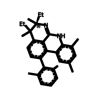 CCC1(C)c2ccc(-c3c(C)cccc3C)c3c2C(=N[C@]1(C)CC)Nc1c(C)cc(C)cc1-3